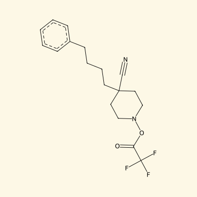 N#CC1(CCCCc2ccccc2)CCN(OC(=O)C(F)(F)F)CC1